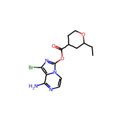 CCC1CC(C(=O)Oc2nc(Br)c3c(N)nccn23)CCO1